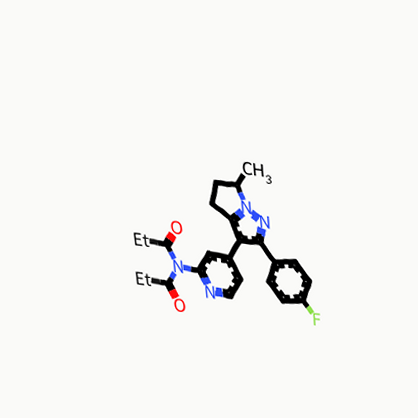 CCC(=O)N(C(=O)CC)c1cc(-c2c(-c3ccc(F)cc3)nn3c2CCC3C)ccn1